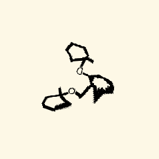 CC1(OCc2ccccc2OC2(C)CCCC2)CCCC1